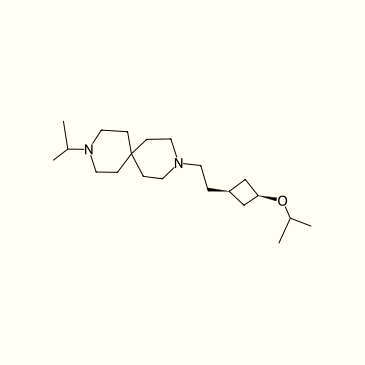 CC(C)O[C@H]1C[C@@H](CCN2CCC3(CC2)CCN(C(C)C)CC3)C1